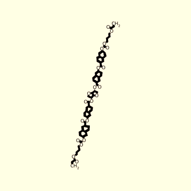 C=CC(=O)OCCCCOC(=O)Oc1ccc2cc(C(=O)Oc3ccc4cc(C(=O)O[C@@H]5COC6C5OC[C@H]6OC(=O)c5ccc6cc(OC(=O)c7ccc8cc(OC(=O)OCCCCOC(=O)C=C)ccc8c7)ccc6c5)ccc4c3)ccc2c1